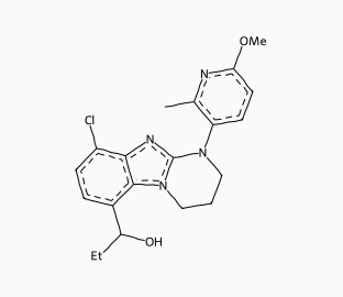 CCC(O)c1ccc(Cl)c2nc3n(c12)CCCN3c1ccc(OC)nc1C